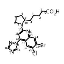 O=C(O)CCCC[C@@H]1CCCN1c1cc(-n2cncn2)c2cc(Cl)c(Br)cc2n1